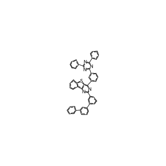 c1ccc(-c2cccc(-c3cccc(-c4nc(-c5cccc(-c6nc(-c7ccccc7)nc(-c7ccccc7)n6)c5)c5sc6ccccc6c5n4)c3)c2)cc1